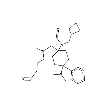 CN(CCCC#N)CC1(N(C=O)CC2CCC2)CCC(c2ccccc2)(N(C)C)CC1